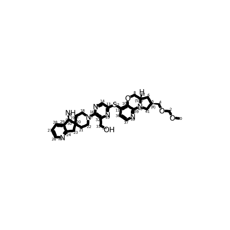 COCOC[C@@H]1C[C@H]2COc3c(Sc4cnc(N5CCC6(CC5)Cc5ncccc5[C@H]6N)c(CO)n4)ccnc3N2C1